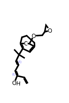 C=C/C(O)=C\C=C\C(C)(C)C1=C2CCCC(=C1)C(OCC1CO1)C2